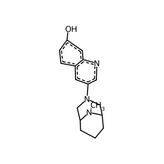 CN1C2CCCC1CN(c1cnc3cc(O)ccc3c1)C2